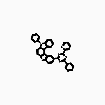 C1=CC2C(c3ccccc3N2c2ccccc2)c2c1oc1ccc(-c3nc(-c4ccccc4)nc(-c4ccccn4)n3)cc21